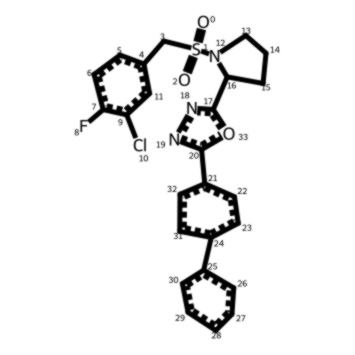 O=S(=O)(Cc1ccc(F)c(Cl)c1)N1CCCC1c1nnc(-c2ccc(-c3ccccc3)cc2)o1